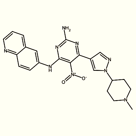 CN1CCC(n2cc(-c3nc(N)nc(Nc4ccc5ncccc5c4)c3[N+](=O)[O-])cn2)CC1